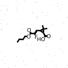 CCCCOC(=O)/C(F)=C/C1C(C(=O)O)C1(C)C